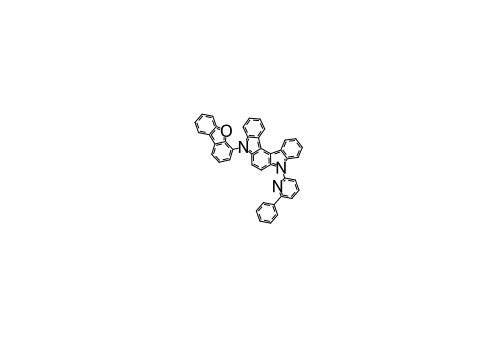 c1ccc(-c2cccc(-n3c4ccccc4c4c5c6ccccc6n(-c6cccc7c6oc6ccccc67)c5ccc43)n2)cc1